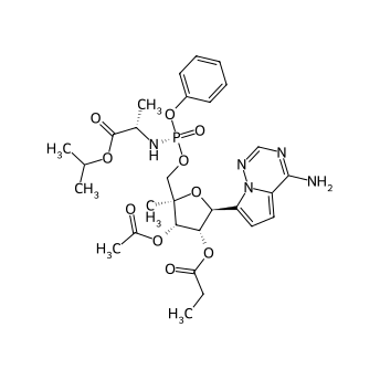 CCC(=O)O[C@H]1[C@H](c2ccc3c(N)ncnn23)O[C@](C)(CO[P@@](=O)(N[C@@H](C)C(=O)OC(C)C)Oc2ccccc2)[C@H]1OC(C)=O